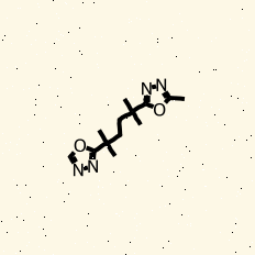 Cc1nnc(C(C)(C)CCC(C)(C)c2nnco2)o1